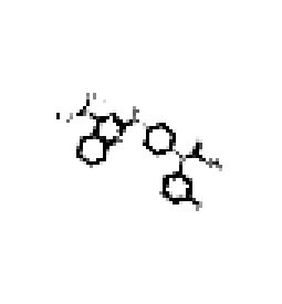 CN(C)c1nc(N[C@H]2CC[C@@H](N(C(N)=O)c3cccc(F)c3)CC2)nc2c1CCCC2